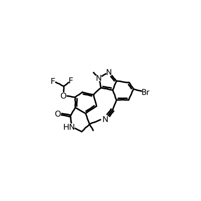 Cn1nc2cc(Br)cc(C#N)c2c1-c1cc(OC(F)F)c2c(c1)C(C)(C)CNC2=O